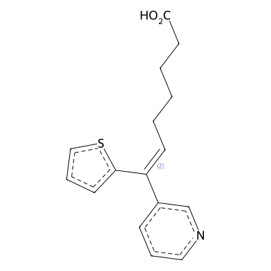 O=C(O)CCCC/C=C(/c1cccnc1)c1cccs1